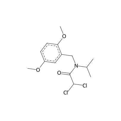 COc1ccc(OC)c(CN(C(=O)C(Cl)Cl)C(C)C)c1